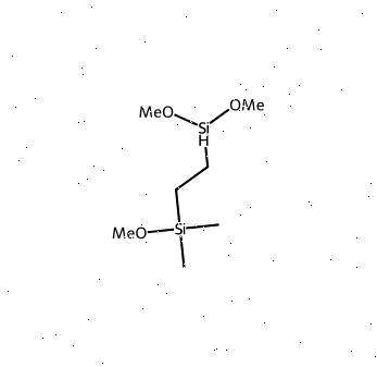 CO[SiH](CC[Si](C)(C)OC)OC